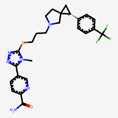 Cn1c(SCCCN2CCC3(C[C@@H]3c3ccc(C(F)(F)F)cc3)C2)nnc1-c1ccc(C(N)=O)nc1